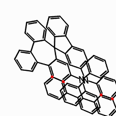 c1ccc(-c2ccccc2N(c2ccccc2)c2ccc3c(c2)C2(c4ccccc4-c4ccccc4-3)c3ccccc3-c3ccc(N(c4ccccc4)c4ccccc4-c4ccccc4)cc32)cc1